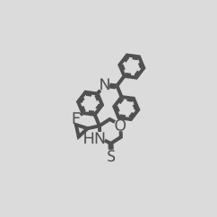 Fc1ccc(N=C(c2ccccc2)c2ccccc2)cc1C1(C2CC2)COCC(=S)N1